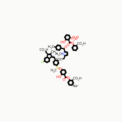 CC1=C(CC(=O)O)c2cc(F)ccc2/C1=C\c1ccc([S+](C)[O-])cc1.Cc1ccc(C(=O)c2ccc(CC(=O)[O-])n2C)cc1.O.O.O=C(Oc1ccccc1C(=O)O)c1ccccc1O.O=C(Oc1ccccc1C(=O)O)c1ccccc1O.[Na+]